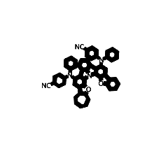 N#CC1=CC=C(N(c2ccccc2)c2cc3c4c(oc3c3c2c2cccc5c6c(N(c7ccccc7)c7ccc(C#N)cc7)cc7c8ccccc8oc7c6n3c25)C=CC=CC4)CC1